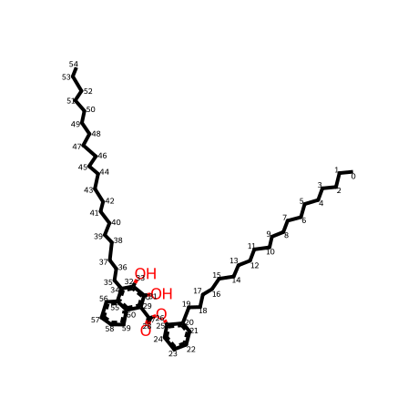 CCCCCCCCCCCCCCCCCCCCc1ccccc1OC(=O)c1c(O)c(O)c(CCCCCCCCCCCCCCCCCCCC)c2ccccc12